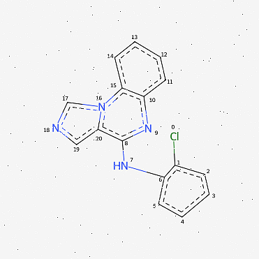 Clc1ccccc1Nc1nc2ccccc2n2cncc12